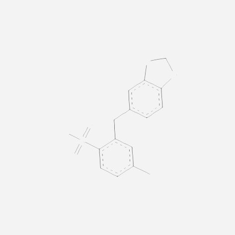 Cc1ccc(S(=O)(O)=S)c(Cc2ccc3c(c2)OCO3)c1